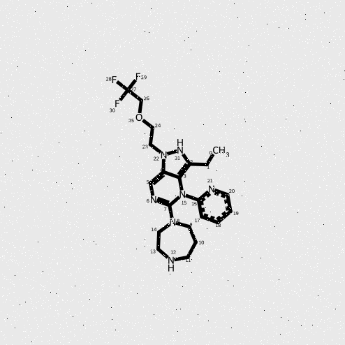 CCC1=C2C(=CN=C(N3CCCNCC3)N2c2ccccn2)N(CCOCC(F)(F)F)N1